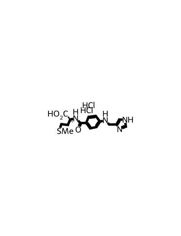 CSCC[C@H](NC(=O)c1ccc(NCc2c[nH]cn2)cc1)C(=O)O.Cl.Cl